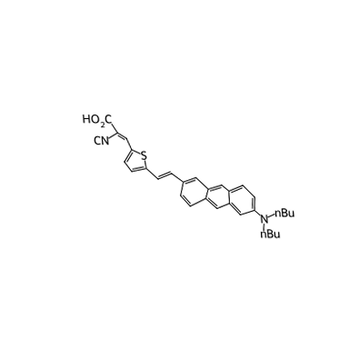 [C-]#[N+]/C(=C\c1ccc(/C=C/c2ccc3cc4cc(N(CCCC)CCCC)ccc4cc3c2)s1)C(=O)O